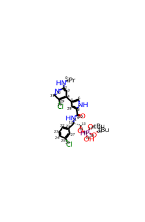 CC(C)Nc1cc(-c2c[nH]c(C(=O)N[C@H](CO[PH](O)(OC(C)(C)C)OC(C)(C)C)c3cccc(Cl)c3)c2)c(Cl)cn1